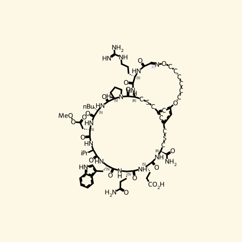 CCCC[C@@H]1NC(=O)[C@@H]2CCCN2C(=O)[C@@H]2CSCc3cc(cc(c3)OCCCCCCO/N=C/C(=O)N[C@@H](CCCNC(=N)N)C(=O)N2)CSC[C@@H](C(N)=O)NC(=O)[C@H](CCC(=O)O)NC(=O)[C@H](CCC(N)=O)NC(=O)[C@H](Cc2c[nH]c3ccccc23)NC(=O)C(C(C)C)NC(=O)[C@H](CC(=O)OOC)NC1=O